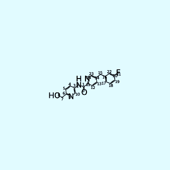 O=C(Nc1ccc(CO)nc1)c1ccc(Cc2cccc(F)c2)cn1